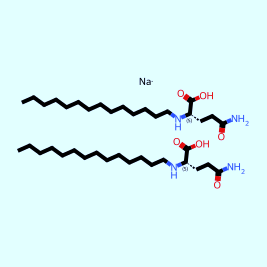 CCCCCCCCCCCCCCN[C@@H](CCC(N)=O)C(=O)O.CCCCCCCCCCCCCCN[C@@H](CCC(N)=O)C(=O)O.[Na]